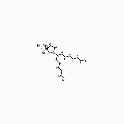 CCCCCCCC(CCCCCC)N1CC[C@](C)(N)C1